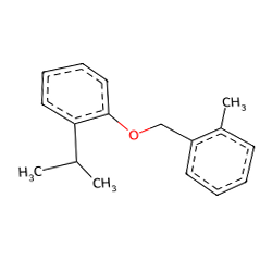 Cc1ccccc1COc1ccccc1C(C)C